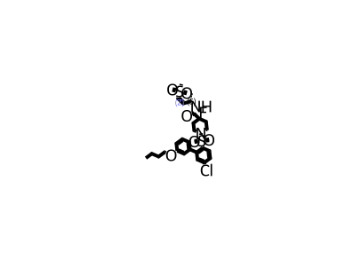 CCCCOc1cccc(-c2cc(Cl)ccc2S(=O)(=O)N2CCC(F)(C(=O)N[C@@H](C)/C=C\S(C)(=O)=O)CC2)c1